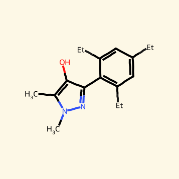 CCc1cc(CC)c(-c2nn(C)c(C)c2O)c(CC)c1